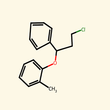 Cc1ccccc1OC(CCCl)c1ccccc1